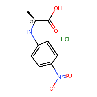 C[C@H](Nc1ccc([N+](=O)[O-])cc1)C(=O)O.Cl